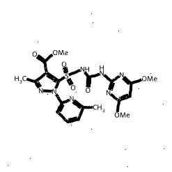 COC(=O)c1c(C)nn(-c2cccc(C)n2)c1S(=O)(=O)NC(=O)Nc1nc(OC)cc(OC)n1